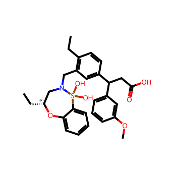 CCc1ccc(C(CC(=O)O)c2cccc(OC)c2)cc1CN1C[C@@H](CC)Oc2ccccc2S1(O)O